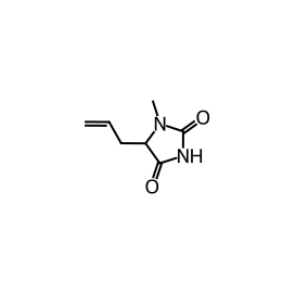 C=CCC1C(=O)NC(=O)N1C